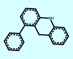 c1ccc(-c2cccc3c2Cc2ccccc2N3)cc1